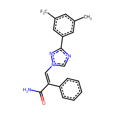 Cc1cc(-c2ncn(/C=C(/C(N)=O)c3ccccc3)n2)cc(C(F)(F)F)c1